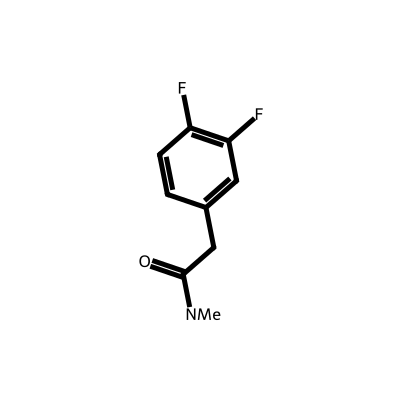 CNC(=O)Cc1ccc(F)c(F)c1